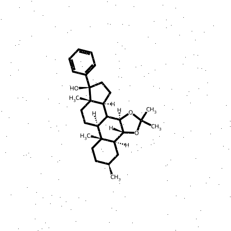 C[C@H]1CC[C@@]2(C)[C@H](C1)[C@H]1OC(C)(C)O[C@@H]1C1[C@@H]2CC[C@@]2(C)[C@H]1CC[C@@]2(O)c1ccccc1